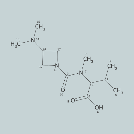 CC(C)C(C(=O)O)N(C)C(=O)N1CC(N(C)C)C1